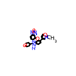 CN1C=C(c2ccc3[nH]c(C4CCOCC4)nc3c2Oc2cccc3nonc23)C=CO1